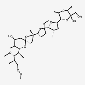 CC[C@@]1([C@@H]2O[C@@H]([C@H]3O[C@@](O)(CO)[C@H](C)C[C@@H]3C)C[C@@H]2C)CC[C@H]([C@]2(C)CC[C@]3(C[C@H](O)C(C)[C@@H]([C@@H](C)[C@@H](OC)[C@H](C)COOC)O3)O2)O1